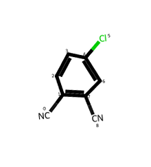 N#Cc1[c]cc(Cl)cc1C#N